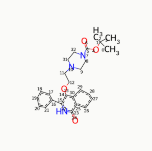 CC(C)(C)OC(=O)N1CCN(CCOc2c(-c3ccccc3)[nH]c(=O)c3ccccc23)CC1